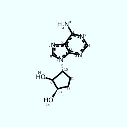 Nc1ncnc2c1ncn2[C@@H]1CC[C@@H](O)C1O